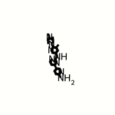 Cc1cc(Nc2nccc(-c3ccc(N)nc3)n2)cnc1N1CC2CC1CN2C